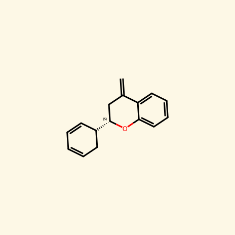 C=C1C[C@@H](C2C=CC=CC2)Oc2ccccc21